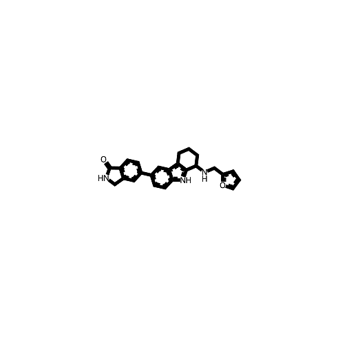 O=C1NCc2cc(-c3ccc4[nH]c5c(c4c3)CCCC5NCc3ccco3)ccc21